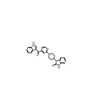 O=C(c1cc(N2CCC(n3c(=O)[nH]c4ncccc43)CC2)ncn1)c1c[nH]c2ccccc12